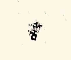 CC(OC(=O)C1(C(F)(F)F)CC2C=CC1C2)C(O)(C(F)(F)F)C(F)(F)F